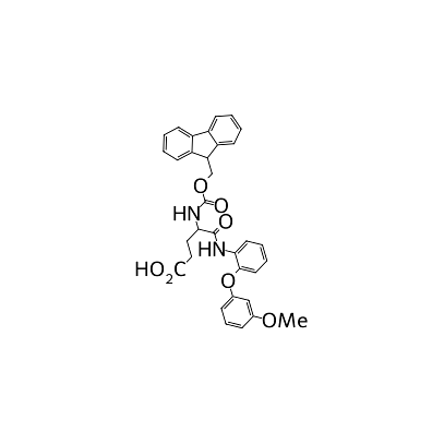 COc1cccc(Oc2ccccc2NC(=O)C(CCC(=O)O)NC(=O)OCC2c3ccccc3-c3ccccc32)c1